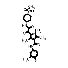 Cc1cc(NC(=O)c2c(C)c(C(=O)C(=O)N[C@H]3CC[C@@H](S(C)(=O)=O)CC3)n(C)c2C)ccc1F